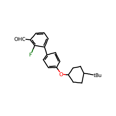 CC(C)(C)C1CCC(Oc2ccc(-c3cccc(C=O)c3F)cc2)CC1